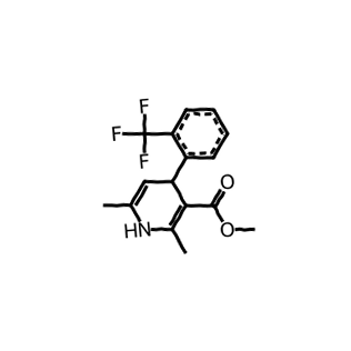 COC(=O)C1=C(C)NC(C)=CC1c1ccccc1C(F)(F)F